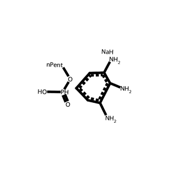 CCCCCO[PH](=O)O.Nc1cccc(N)c1N.[NaH]